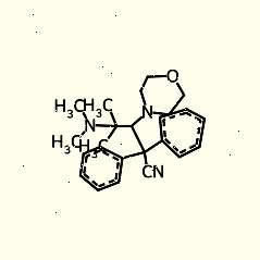 CN(C)C(C)(C)C(N1CCOCC1)C(C#N)(c1ccccc1)c1ccccc1